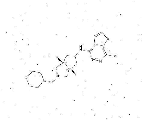 Clc1nnc(NC2C[C@@H]3CN(CC4CCOCC4)C[C@@H]3C2)c2ccsc12